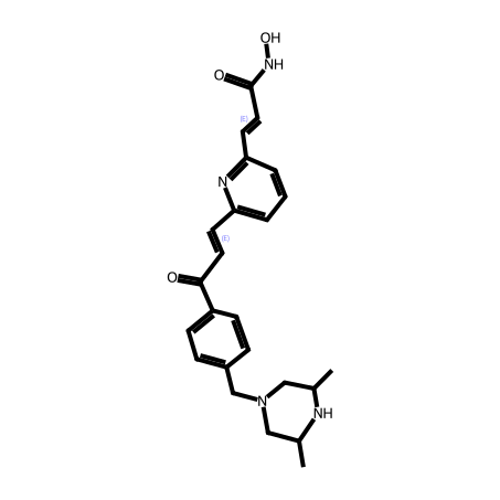 CC1CN(Cc2ccc(C(=O)/C=C/c3cccc(/C=C/C(=O)NO)n3)cc2)CC(C)N1